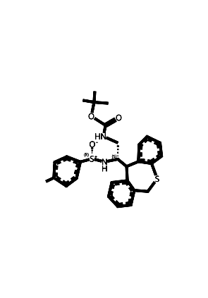 Cc1ccc([S@+]([O-])N[C@H](CNC(=O)OC(C)(C)C)C2c3ccccc3CSc3ccccc32)cc1